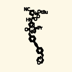 CC(C)C(=O)N1C[C@H](NC(=O)[C@@H]2C[C@@H](C#N)CN2C(=O)OC(C)(C)C)C[C@@H]1C(=O)NCc1ccc(C#Cc2ccc(CN3CCOCC3)cc2)cc1